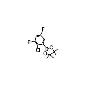 CC1(C)OB(c2cc(F)cc(F)c2Cl)OC1(C)C